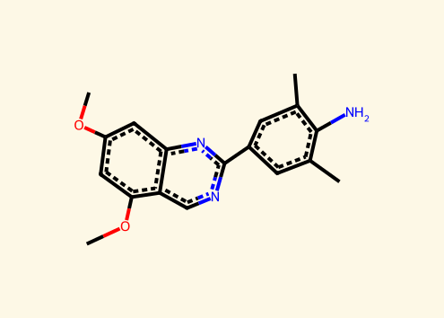 COc1cc(OC)c2cnc(-c3cc(C)c(N)c(C)c3)nc2c1